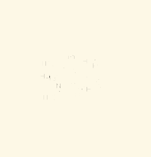 CC(C)C(C)(C)C(C)(C(=O)N(C)C)C(C)(C)C(C)C